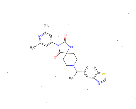 Cc1cc(N2C(=O)NC3(CCN(C(C)c4ccc5scnc5c4)CC3)C2=O)cc(C)n1